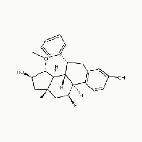 CO[C@@H]1[C@H]2[C@H]3[C@@H](c4ccc(O)cc4C[C@H]3c3ccccc3)[C@@H](F)C[C@]2(C)C[C@H]1O